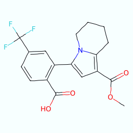 COC(=O)c1cc(-c2cc(C(F)(F)F)ccc2C(=O)O)n2c1CCCC2